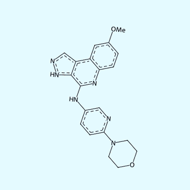 COc1ccc2nc(Nc3ccc(N4CCOCC4)nc3)c3[nH]ncc3c2c1